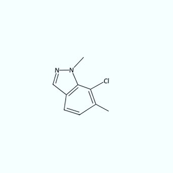 Cc1ccc2cnn(C)c2c1Cl